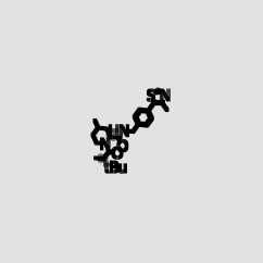 Cc1ncsc1-c1ccc(CNC(=O)[C@@H]2CC(C)CCN2C(=O)[C@@H](C)C(C)(C)C)cc1